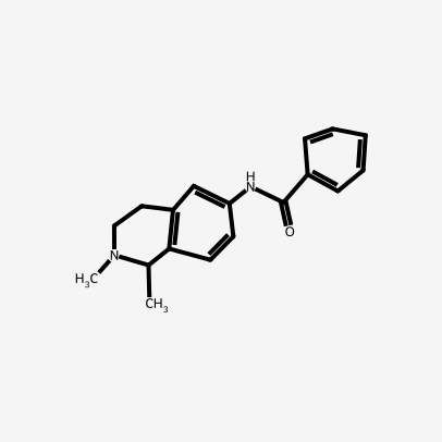 CC1c2ccc(NC(=O)c3ccccc3)cc2CCN1C